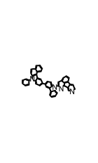 c1ccc(-n2c3ccc(-c4ccc5c(c4)c4ccccc4n5-c4cc5cccc6c5c(n4)-c4cnccc4-6)cc3c3c4ccccc4ccc32)cc1